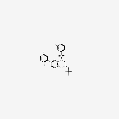 Cc1ccc(Cl)cc1-c1ccc2c(c1)N(S(=O)(=O)c1cccc(C(F)(F)F)c1)CC(CC(C)(C)C(=O)O)O2